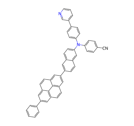 N#Cc1ccc(N(c2ccc(-c3cccnc3)cc2)c2ccc3cc(-c4cc5ccc6cc(-c7ccccc7)cc7ccc(c4)c5c67)ccc3c2)cc1